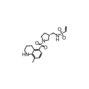 C=CS(=O)(=O)NC[C@@H]1CCN(S(=O)(=O)c2ccc(C)c3c2CCCN3)C1